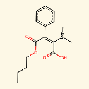 CCCCOC(=O)/C(=C(\C(=O)O)[SiH](C)C)c1ccccc1